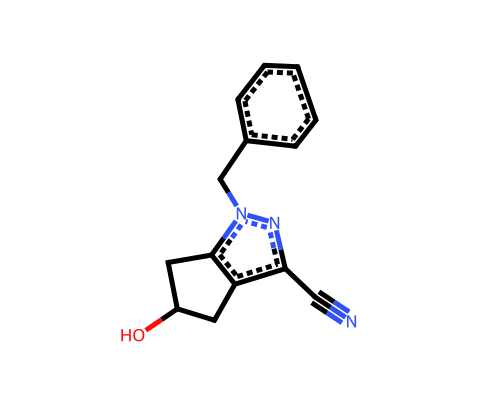 N#Cc1nn(Cc2ccccc2)c2c1CC(O)C2